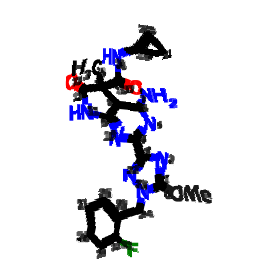 COc1nc(-c2nc(N)c3c(n2)NC(=O)C3(C)C(=O)NC2CC2)nn1Cc1ccccc1F